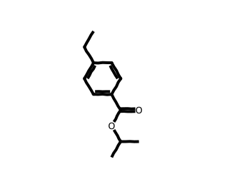 CCc1ccc(C(=O)OC(C)C)cc1